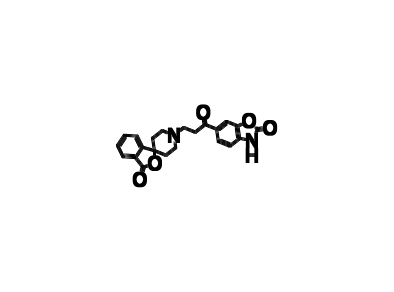 O=C(CCN1CCC2(CC1)OC(=O)c1ccccc12)c1ccc2[nH]c(=O)oc2c1